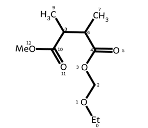 CCOCOC(=O)C(C)C(C)C(=O)OC